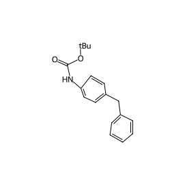 CC(C)(C)OC(=O)Nc1ccc(Cc2ccccc2)cc1